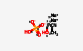 CC#N.CC(C)O.O=P([O-])([O-])O.[Na+].[Na+]